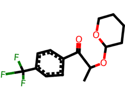 CC(OC1CCCCO1)C(=O)c1ccc(C(F)(F)F)cc1